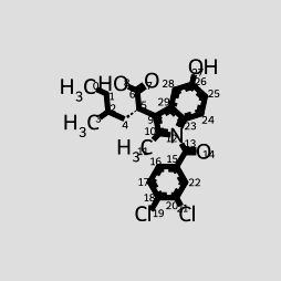 CCC(C)C[C@H](C(=O)O)c1c(C)n(C(=O)c2ccc(Cl)c(Cl)c2)c2ccc(O)cc12